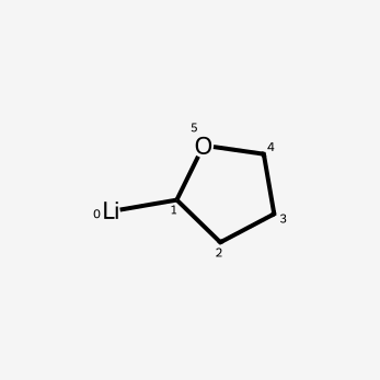 [Li][CH]1CCCO1